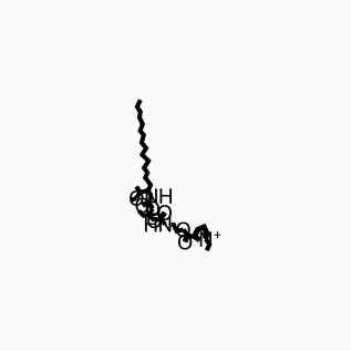 CCCCCCCCCCCCCCCC(NC(=O)OC(CC)OC(=O)NCCOC(=O)c1ccc[n+](CC)c1)C(C)OC